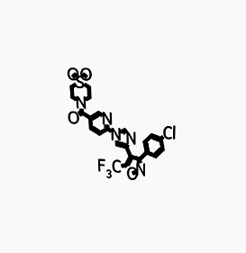 O=C(c1ccc(-n2cnc(-c3c(-c4ccc(Cl)cc4)noc3C(F)(F)F)c2)nc1)N1CCS(=O)(=O)CC1